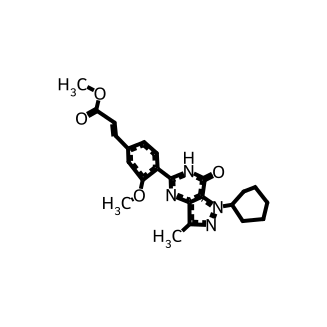 COC(=O)/C=C/c1ccc(-c2nc3c(C)nn(C4CCCCC4)c3c(=O)[nH]2)c(OC)c1